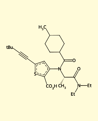 CCN(CC)C(=O)[C@H](C)N(C(=O)C1CCC(C)CC1)c1cc(C#CC(C)(C)C)sc1C(=O)O